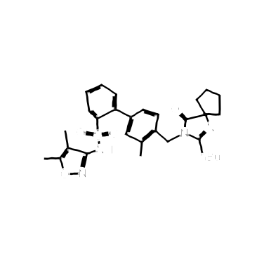 CCCCC1=NC2(CCCC2)C(=O)N1Cc1ccc(-c2ccccc2S(=O)(=O)Nc2noc(C)c2C)cc1C